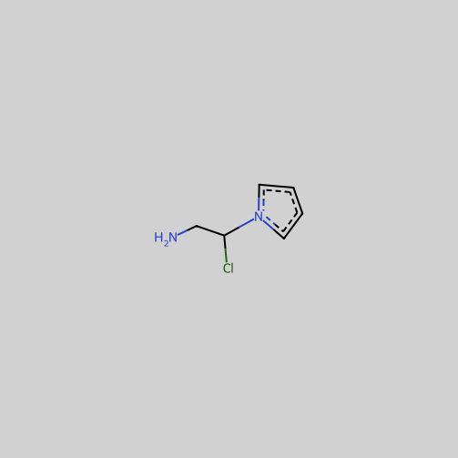 NCC(Cl)n1cccc1